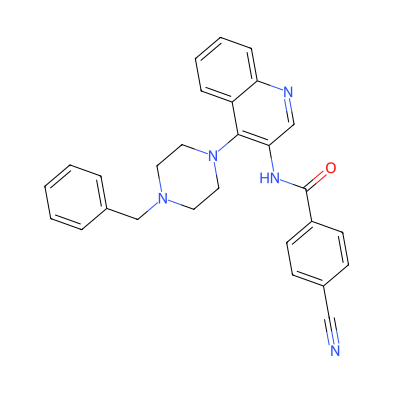 N#Cc1ccc(C(=O)Nc2cnc3ccccc3c2N2CCN(Cc3ccccc3)CC2)cc1